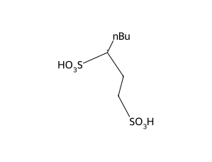 CCCC[C](CCS(=O)(=O)O)S(=O)(=O)O